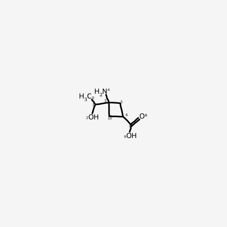 CC(O)C1(N)CC(C(=O)O)C1